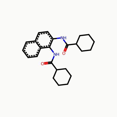 O=C(Nc1ccc2ccccc2c1NC(=O)C1CCCCC1)C1CCCCC1